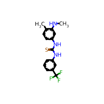 CNc1cc(NC(=S)Nc2cccc(C(F)(F)F)c2)ccc1C